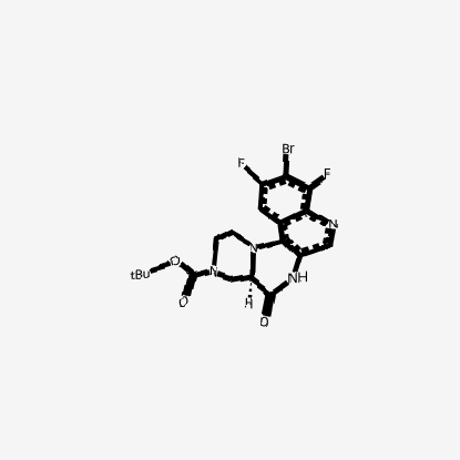 CC(C)(C)OC(=O)N1CCN2c3c(cnc4c(F)c(Br)c(F)cc34)NC(=O)[C@H]2C1